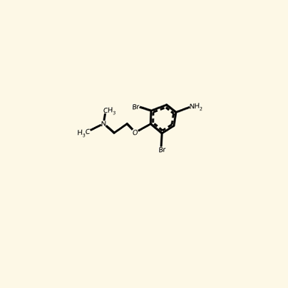 CN(C)CCOc1c(Br)cc(N)cc1Br